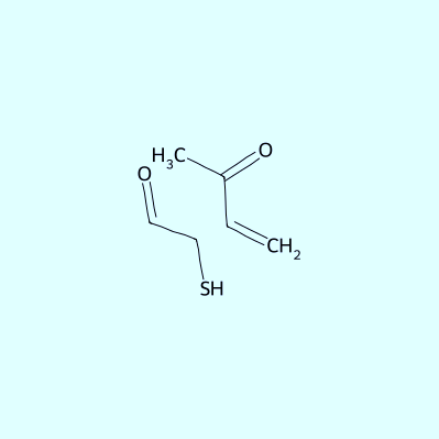 C=CC(C)=O.O=CCS